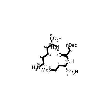 CCCCCCCCCCCC(=O)N[C@@H](CCSC)C(=O)O.NCCCC[C@H](N)C(=O)O